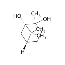 CC1(C)[C@@H]2CC[C@](C)(O)[C@]1(O)C2